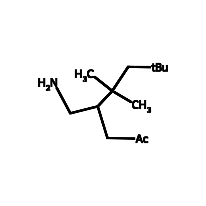 CC(=O)CC(CN)C(C)(C)CC(C)(C)C